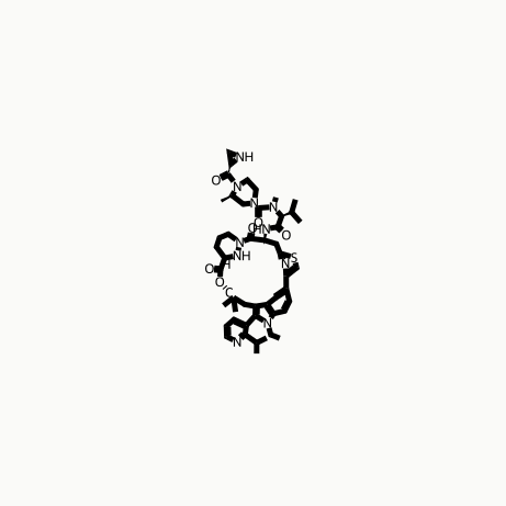 CCn1c(-c2cccnc2C(C)C)c2c3cc(ccc31)-c1csc(n1)C[C@H](NC(=O)[C@H](C(C)C)N(C)C(=O)N1CCN(C(=O)[C@@H]3CN3)[C@H](C)C1)C(=O)N1CCC[C@H](N1)C(=O)OCC(C)(C)C2